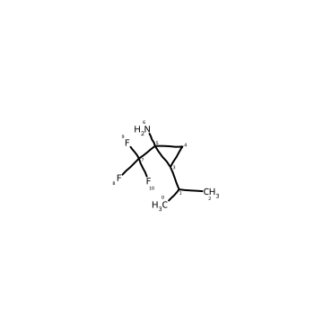 CC(C)C1CC1(N)C(F)(F)F